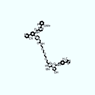 COc1cccc(F)c1-c1nccc(C(=O)Nc2ccc(-c3cnccc3C#N)cc2N2CCN(CC(=O)NCCOCCOCCOCCC(=O)N[C@H](C(=O)N3C[C@H](O)C[C@H]3C(=O)NCc3ccc(-c4scnc4C)cc3)C(C)(C)C)CC2)n1